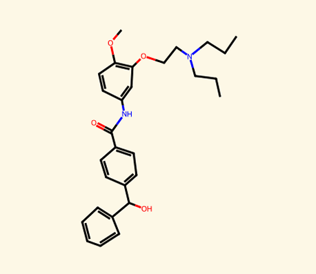 CCCN(CCC)CCOc1cc(NC(=O)c2ccc(C(O)c3ccccc3)cc2)ccc1OC